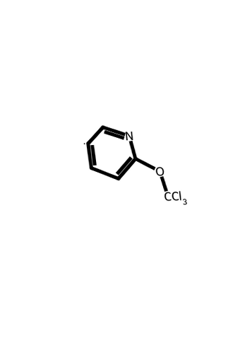 ClC(Cl)(Cl)Oc1cc[c]cn1